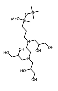 CO[Si](C)(CCCN(CCN(CC(O)CO)CC(O)CO)CC(O)CO)O[Si](C)(C)C